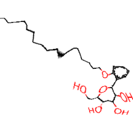 CCCCCCCCCCCCCCCCOc1ccccc1[C]1O[C@H](CO)[C@@H](O)[C@H](O)[C@@H]1O